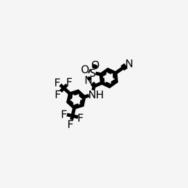 N#Cc1ccc2c(c1)S(=O)(=O)N=C2Nc1cc(C(F)(F)F)cc(C(F)(F)F)c1